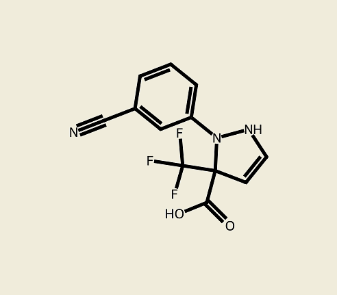 N#Cc1cccc(N2NC=CC2(C(=O)O)C(F)(F)F)c1